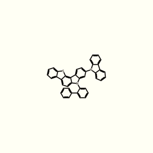 c1ccc(-c2ccccc2-n2c3cc(-n4c5ccccc5c5ccccc54)ccc3c3c4sc5ccccc5c4ccc32)cc1